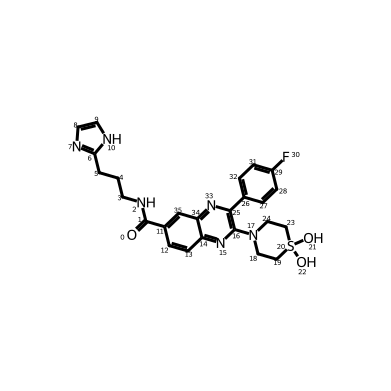 O=C(NCCCc1ncc[nH]1)c1ccc2nc(N3CCS(O)(O)CC3)c(-c3ccc(F)cc3)nc2c1